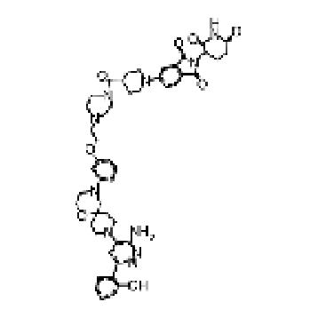 Nc1nnc(-c2ccccc2O)cc1N1CCC2(CC1)CN(c1cccc(OCCN3CCN(C(=O)C4CCN(c5ccc6c(c5)C(=O)N(C5CCC(=O)NC5=O)C6=O)CC4)CC3)c1)CCO2